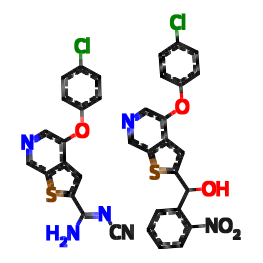 N#CN=C(N)c1cc2c(Oc3ccc(Cl)cc3)cncc2s1.O=[N+]([O-])c1ccccc1C(O)c1cc2c(Oc3ccc(Cl)cc3)cncc2s1